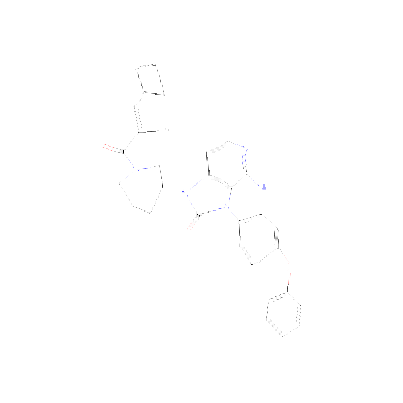 N#C/C(=C\C1CCC1)C(=O)N1CCC[C@@H](n2c(=O)n(-c3ccc(Oc4ccccc4)cc3)c3c(N)nccc32)C1